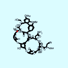 CN[C@H](CC(C)C)C(=O)N[C@H]1C(=O)N[C@@H](CC(N)=O)C(=O)N[C@H]2C(=S)N[C@H]3C(=O)N[C@H](C(=O)N[C@H](CO)c4cc(OC)cc(OC)c4-c4cc3ccc4O)[C@H](O)c3ccc(c(Cl)c3)Oc3cc2cc(c3O)Oc2ccc(cc2Cl)[C@H]1O